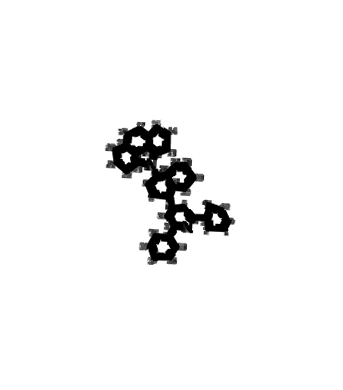 c1ccc(-c2cc(-c3ccc(-n4c5cccc6ccc7cccc4c7c65)c4ccccc34)cc(-c3ccccc3)n2)cc1